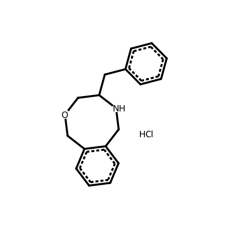 Cl.c1ccc(CC2COCc3ccccc3CN2)cc1